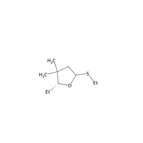 CCSC1CC(C)(C)[C@@H](CC)O1